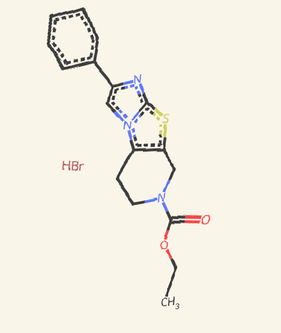 Br.CCOC(=O)N1CCc2c(sc3nc(-c4ccccc4)cn23)C1